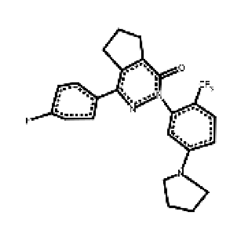 O=c1c2c(c(-c3ccc(F)cc3)nn1-c1cc(N3CCCC3)ccc1C(F)(F)F)CCC2